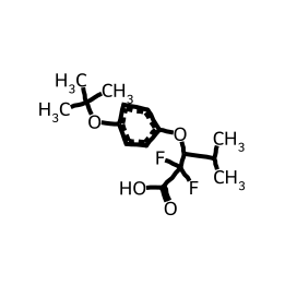 CC(C)C(Oc1ccc(OC(C)(C)C)cc1)C(F)(F)C(=O)O